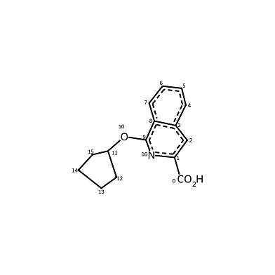 O=C(O)c1cc2ccccc2c(OC2CCCC2)n1